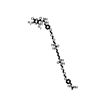 CC(=N)NCc1ccc(OCCOCCOCCNC(=O)NCCCCCCNC(=O)NCCOCCOCCOc2ccc(CNC(=N)NC(=O)c3nc(Cl)c(N)nc3N)cc2)cc1